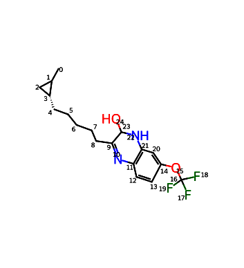 CC1C[C@H]1CCCCCC1=Nc2ccc(OC(F)(F)F)cc2NC1O